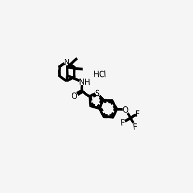 CC1(C)C(NC(=O)c2cc3ccc(OC(F)(F)F)cc3s2)C2CCN1CC2.Cl